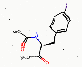 COC(=O)N[C@@H](Cc1ccc(I)cc1)C(=O)OC